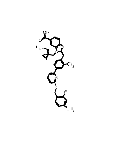 CCC1(Cn2c(Cc3ccc(-c4cccc(OCc5ccc(C)cc5F)n4)cc3C)nc3ccc(C(=O)O)cc32)CC1